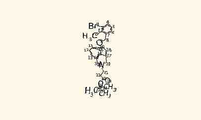 Cc1c(Br)cccc1COC1=C2C=CC3=C(C2)C(=C1)CN(CCC(=O)OC(C)(C)C)C3